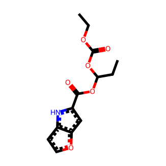 CCOC(=O)OC(CC)OC(=O)c1cc2occc2[nH]1